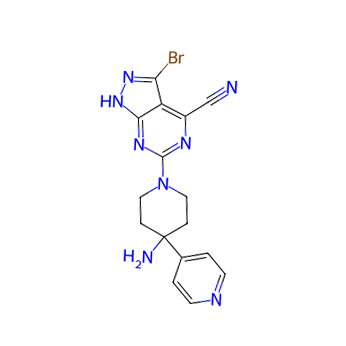 N#Cc1nc(N2CCC(N)(c3ccncc3)CC2)nc2[nH]nc(Br)c12